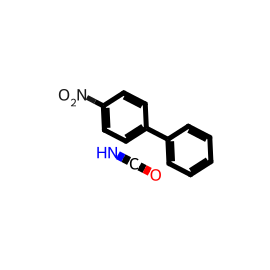 N=C=O.O=[N+]([O-])c1ccc(-c2ccccc2)cc1